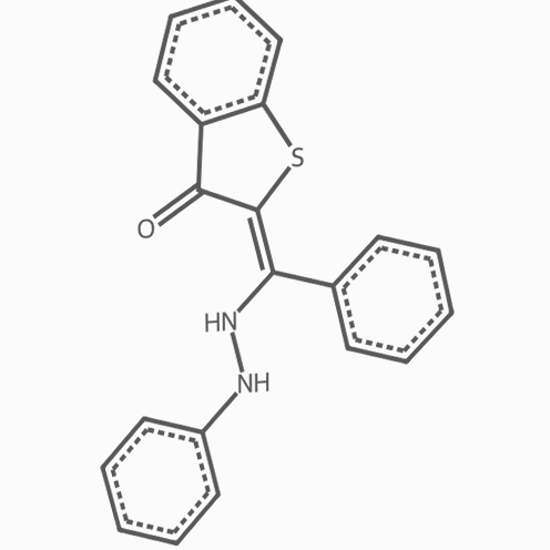 O=C1C(=C(NNc2ccccc2)c2ccccc2)Sc2ccccc21